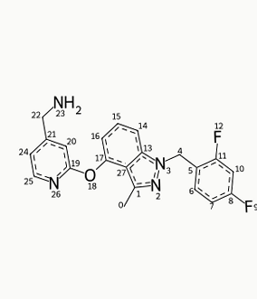 Cc1nn(Cc2ccc(F)cc2F)c2cccc(Oc3cc(CN)ccn3)c12